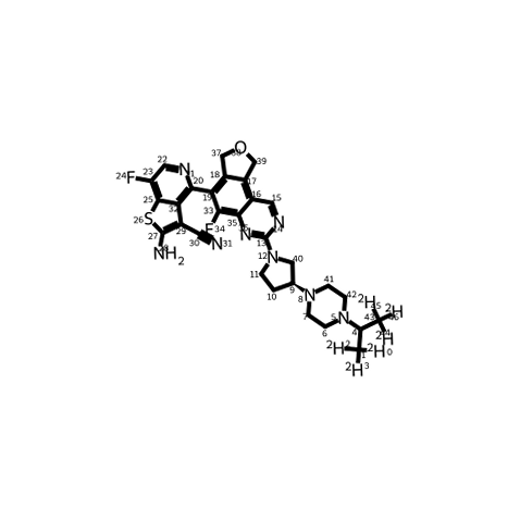 [2H]C([2H])([2H])C(N1CCN([C@H]2CCN(c3ncc4c5c(c(-c6ncc(F)c7sc(N)c(C#N)c67)c(F)c4n3)COC5)C2)CC1)C([2H])([2H])[2H]